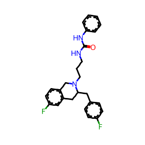 O=C(NCCCN1Cc2ccc(F)cc2CC1Cc1ccc(F)cc1)Nc1ccccc1